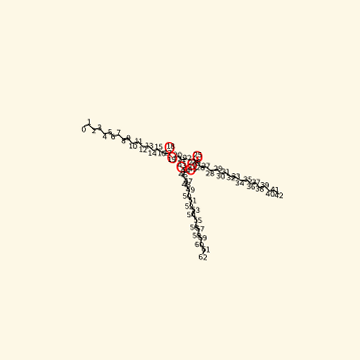 CCCCCCCCC=CCCCCCCCC(=O)OCC(COC(=O)CCCCCCCCCCCCCCCCC)OC(=O)CCCCCCCC=CCCCCCCCC